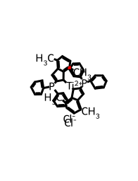 Cc1ccc(C)c2c1C=C(P(c1ccccc1)c1ccccc1)[CH]2[Ti+2][CH]1C(P(c2ccccc2)c2ccccc2)=Cc2c(C)ccc(C)c21.[Cl-].[Cl-]